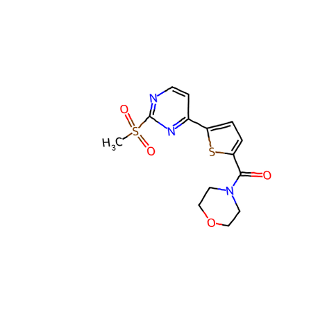 CS(=O)(=O)c1nccc(-c2ccc(C(=O)N3CCOCC3)s2)n1